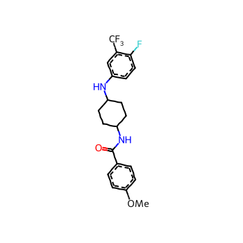 COc1ccc(C(=O)NC2CCC(Nc3ccc(F)c(C(F)(F)F)c3)CC2)cc1